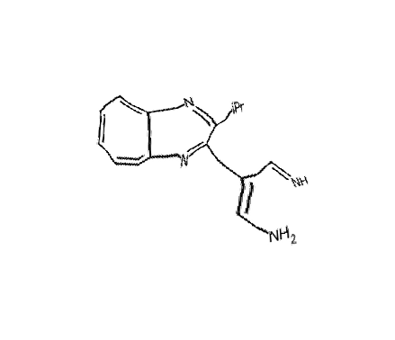 CC(C)c1nc2ccccc2nc1/C(C=N)=C/N